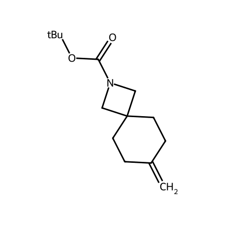 C=C1CCC2(CC1)CN(C(=O)OC(C)(C)C)C2